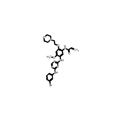 C=CC(=O)Nc1cc(Nc2ncnc(Nc3cccc(Br)c3)n2)c(OC)cc1OCCN1CCOCC1